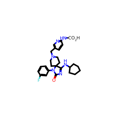 O=C(O)Nc1ccc(CN2CCC3(CC2)C(NC2CCCCC2)=NC(=O)N3c2cccc(F)c2)cn1